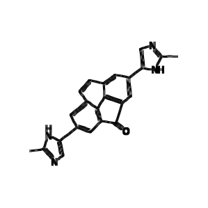 Cc1ncc(-c2cc3ccc4cc(-c5cnc(C)[nH]5)cc5c(=O)c(c2)c3c45)[nH]1